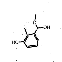 COC(O)c1cccc(O)c1C